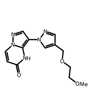 COCCOCc1cnn(-c2cnn3ccc(=O)[nH]c23)c1